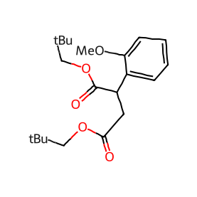 COc1ccccc1C(CC(=O)OCC(C)(C)C)C(=O)OCC(C)(C)C